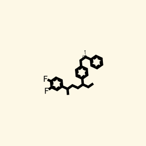 CCC(CCC(C)c1ccc(F)c(F)c1)c1ccc(C[C@H](C)c2ccccc2)cc1